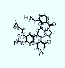 NCc1ccnc(C(=O)N2CCS[C@H]2C(=O)OC(Cc2c(Cl)c[n+]([O-])cc2Cl)c2ccc(OC(F)F)c(OCC3CC3)c2)c1